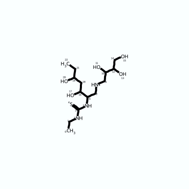 CCNC(=S)NC(CNCC(O)C(O)CO)C(O)CC(O)CC